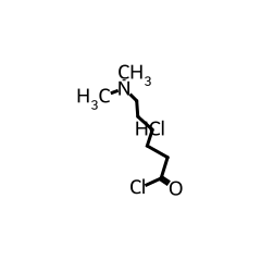 CN(C)CCCCCC(=O)Cl.Cl